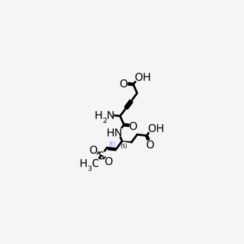 CS(=O)(=O)/C=C/[C@H](CCC(=O)O)NC(=O)C(N)C#CCC(=O)O